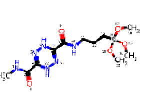 CNC(=O)C1=NNC(C(=O)NCCC[Si](OC)(OC)OC)=NN1